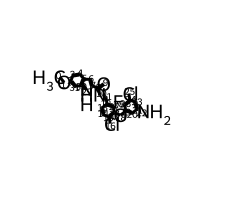 COc1ccc2cc(C(=O)NCc3ccc(Cl)c(Oc4cc(N)cc(Cl)c4)c3F)[nH]c2c1